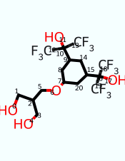 OCC(CO)COC1CC(C(O)(C(F)(F)F)C(F)(F)F)CC(C(O)(C(F)(F)F)C(F)(F)F)C1